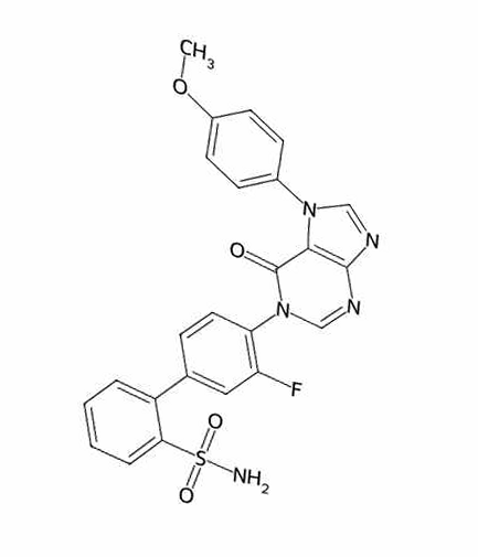 COc1ccc(-n2cnc3ncn(-c4ccc(-c5ccccc5S(N)(=O)=O)cc4F)c(=O)c32)cc1